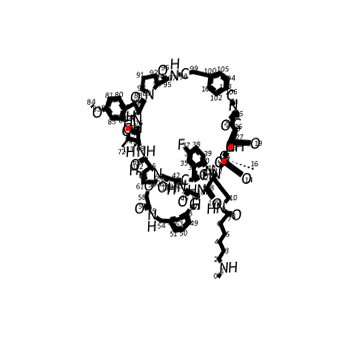 CNCCCCCC(=O)NCC1NC(=O)[C@H](C)NC(=O)CCC(=O)N2CCCCCCn3cc(c4cc(F)ccc43)C[C@@H]3NC(=O)[C@H](Cc4cccc(c4)CNC(=O)CO[C@H]4CCN(C3=O)C4C(=O)N[C@@H]([C@@H](C)O)C(=O)N[C@@H](Cc3ccc(OC)cc3)C(=O)N3CCC[C@@]3(C)C(=O)NCCc3ccc(cc3)C2)NC1=O